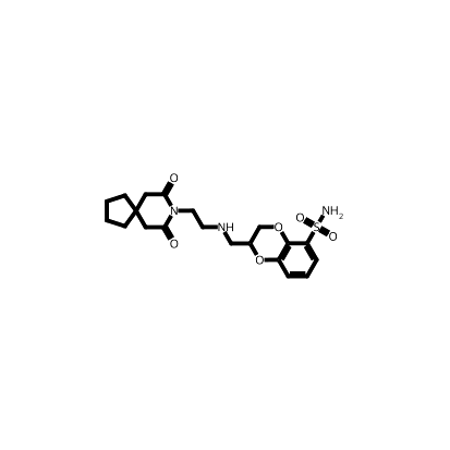 NS(=O)(=O)c1cccc2c1OCC(CNCCN1C(=O)CC3(CCCC3)CC1=O)O2